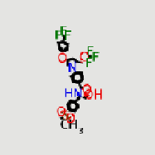 CCS(=O)(=O)c1ccc([C@H](CO)NC(=O)c2ccc(N3C[C@H](Oc4ccc(C(F)(F)F)cc4)C[C@H]3COC(F)(F)F)cc2)cc1